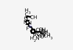 C#C[C@H](C)Oc1cnc(/C(F)=C/c2ccc(F)c([C@@]3(C)N=C(N)S[C@](C)(S(C)(=O)=O)[C@H]3C)c2)cn1